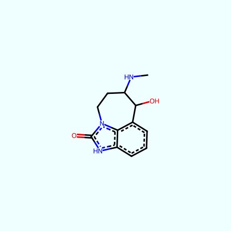 CNC1CCn2c(=O)[nH]c3cccc(c32)C1O